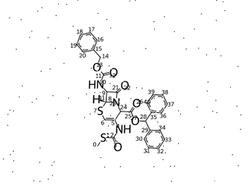 CSC(=O)NC1=CS[C@@H]2C(NC(=O)OCc3ccccc3)C(=O)N2C1C(=O)OC(c1ccccc1)c1ccccc1